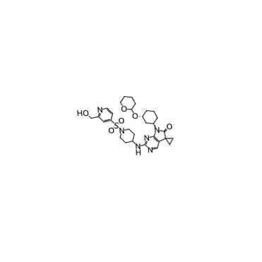 O=C1N([C@@H]2CCC[C@@H](OC3CCCCO3)C2)c2nc(NC3CCN(S(=O)(=O)c4ccnc(CO)c4)CC3)ncc2C12CC2